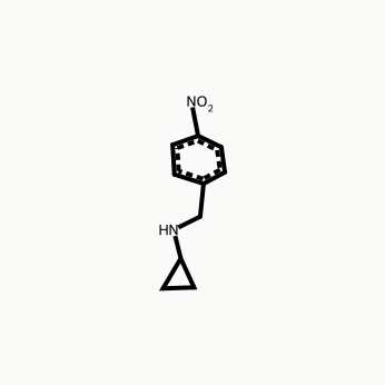 O=[N+]([O-])c1ccc(CNC2CC2)cc1